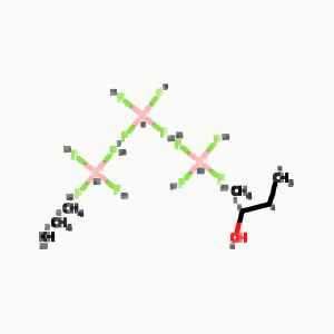 C.C.C.CCCO.F[B-](F)(F)F.F[B-](F)(F)F.F[B-](F)(F)F.[KH]